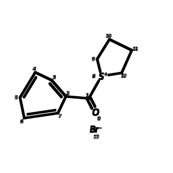 O=C(c1ccccc1)[S+]1CCCC1.[Br-]